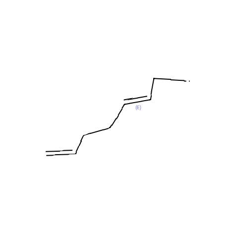 [CH2]C/C=C/CCC=C